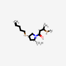 C=CCCCS[C@H]1C[C@@H](C(=O)O)N(C(=O)CC(C)SC(C)=O)C1